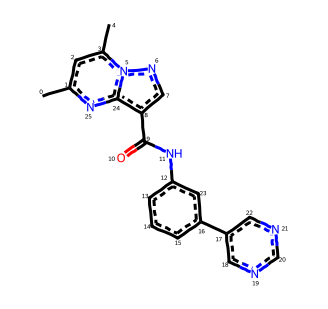 Cc1cc(C)n2ncc(C(=O)Nc3cccc(-c4cncnc4)c3)c2n1